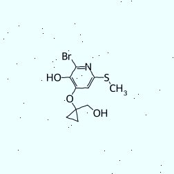 CSc1cc(OC2(CO)CC2)c(O)c(Br)n1